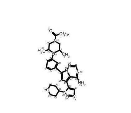 COC(=O)N1CC(C)N(c2cccc(-c3cc(-c4cnnn4C4CCOCC4)c4c(N)ncnn34)c2)C(C)C1